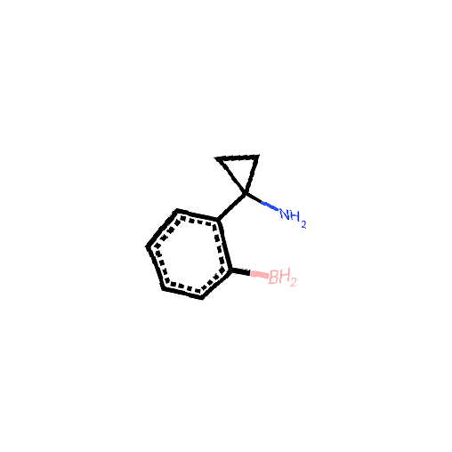 Bc1ccccc1C1(N)CC1